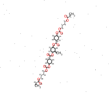 C=CC(=O)OCCCCOC(=O)Oc1ccc(C(=O)Oc2ccc(OC(=O)c3ccc(OC(=O)OCCCCOC(=O)C=C)cc3)c(C)c2)cc1